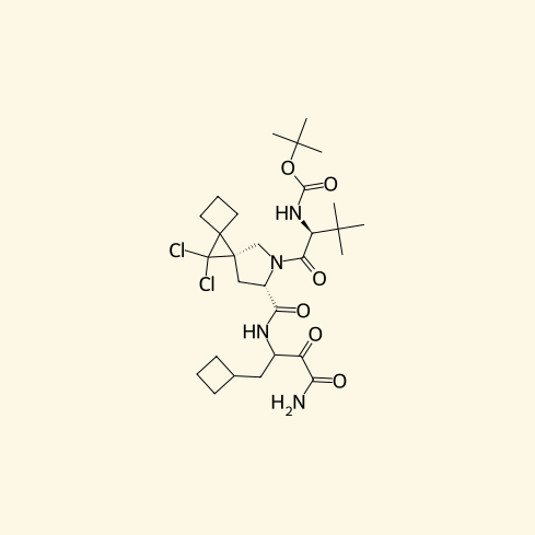 CC(C)(C)OC(=O)N[C@H](C(=O)N1C[C@]2(C[C@H]1C(=O)NC(CC1CCC1)C(=O)C(N)=O)C(Cl)(Cl)C21CCC1)C(C)(C)C